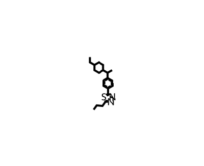 CCCc1nnc(-c2ccc(C(C)C3CCC(CC)CC3)cc2)s1